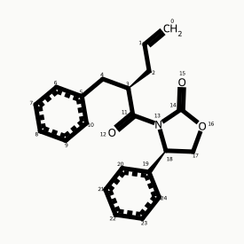 C=CC[C@H](Cc1ccccc1)C(=O)N1C(=O)OC[C@H]1c1ccccc1